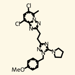 COc1ccc(Cn2nc(CCc3nc4c(Cl)cc(Cl)c(C)n4n3)nc2N2CCCC2)cc1